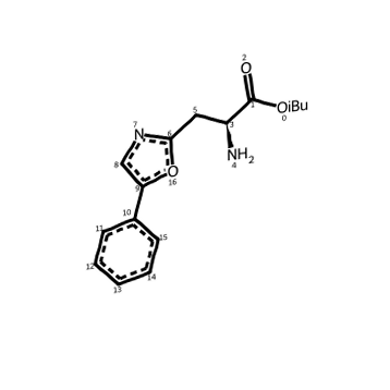 CC(C)COC(=O)[C@@H](N)Cc1ncc(-c2ccccc2)o1